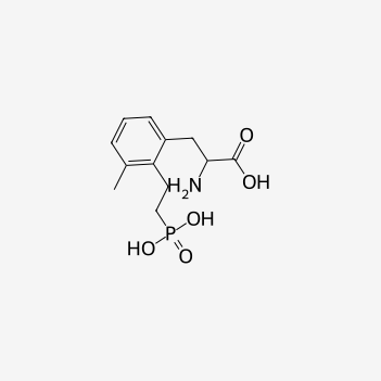 Cc1cccc(CC(N)C(=O)O)c1CCP(=O)(O)O